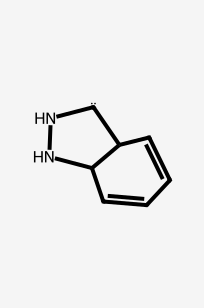 [C]1NNC2C=CC=CC12